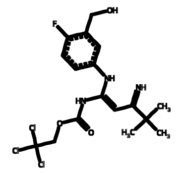 CC(C)(C)C(=N)/C=C(/NC(=O)OCC(Cl)(Cl)Cl)Nc1ccc(F)c(CO)c1